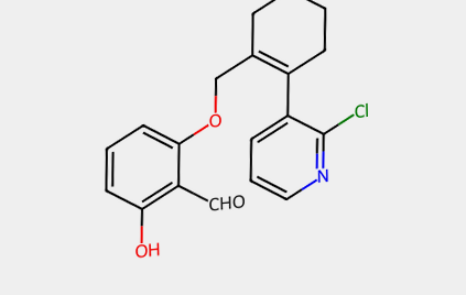 O=Cc1c(O)cccc1OCC1=C(c2cccnc2Cl)CCCC1